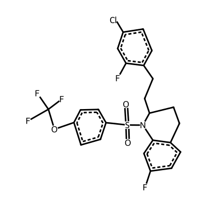 O=S(=O)(c1ccc(OC(F)(F)F)cc1)N1c2cc(F)ccc2CCC1CCc1ccc(Cl)cc1F